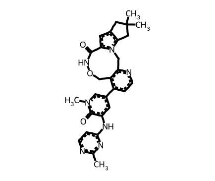 Cc1nccc(Nc2cc(-c3ccnc4c3CONC(=O)c3cc5c(n3C4)CC(C)(C)C5)cn(C)c2=O)n1